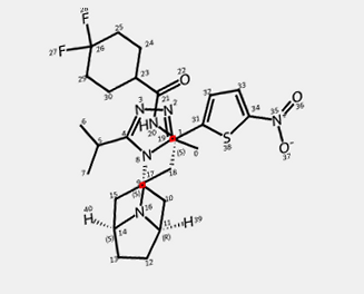 Cc1nnc(C(C)C)n1[C@@H]1C[C@H]2CC[C@@H](C1)N2CC[C@H](NC(=O)C1CCC(F)(F)CC1)c1ccc([N+](=O)[O-])s1